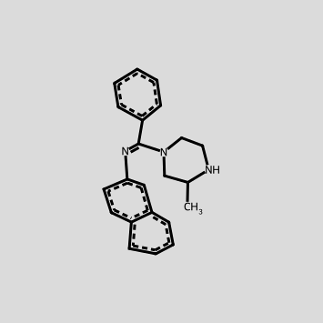 CC1CN(C(=Nc2ccc3ccccc3c2)c2ccccc2)CCN1